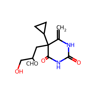 C=C1NC(=O)NC(=O)C1(CC(C=O)CO)C1CC1